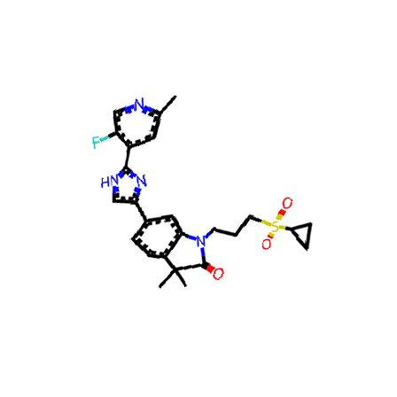 Cc1cc(-c2nc(-c3ccc4c(c3)N(CCCS(=O)(=O)C3CC3)C(=O)C4(C)C)c[nH]2)c(F)cn1